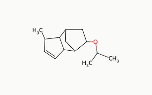 CC(C)OC1CC2CC1C1C=CC(C)C21